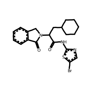 O=C(Nc1ncc(Br)s1)C(CC1CCCCC1)N1Cc2ccccc2C1=O